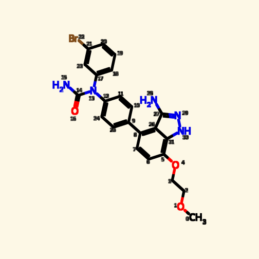 COCCOc1ccc(-c2ccc(N(C(N)=O)c3cccc(Br)c3)cc2)c2c(N)n[nH]c12